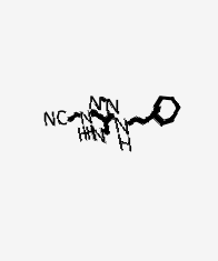 N#CCCNc1ncnc(NCCC2=CCCCCC2)c1C=N